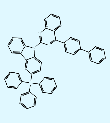 c1ccc(-c2ccc(-c3nc(-n4c5ccccc5c5cc([Si](c6ccccc6)(c6ccccc6)c6ccccc6)ccc54)nc4ccccc34)cc2)cc1